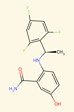 C[C@@H](Nc1ccc(O)cc1C(N)=O)c1c(F)cc(F)cc1F